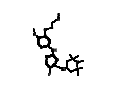 COCCOc1cc(Nc2ncc(F)c(NC3CC(C)(C)N(C)C(C)(C)C3)n2)ccc1OC